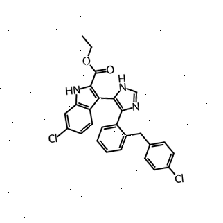 CCOC(=O)c1[nH]c2cc(Cl)ccc2c1-c1[nH]cnc1-c1ccccc1Cc1ccc(Cl)cc1